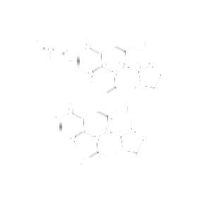 S=C([S-])N(c1cnccn1)N(C(=S)S)C1NCCS1.S=C([S-])N(c1cnccn1)N(C(=S)S)C1NCCS1.[O]=[Mo+2]=[O]